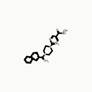 C=C(/N=C\C(=C/C)C(=O)NO)N1CCN(C(=C)c2ccc3ccccc3c2)CC1